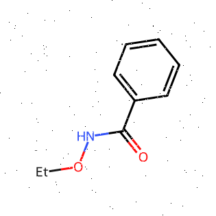 CCONC(=O)c1c[c]ccc1